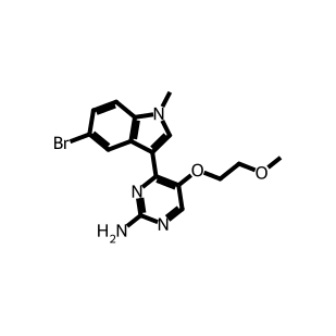 COCCOc1cnc(N)nc1-c1cn(C)c2ccc(Br)cc12